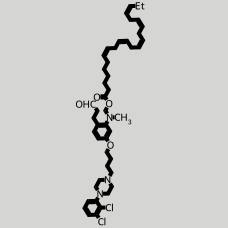 CC/C=C\C/C=C\C/C=C\C/C=C\C/C=C\CCCCCC(=O)OCN(C)c1cc(OCCCCN2CCN(c3cccc(Cl)c3Cl)CC2)ccc1CCC=O